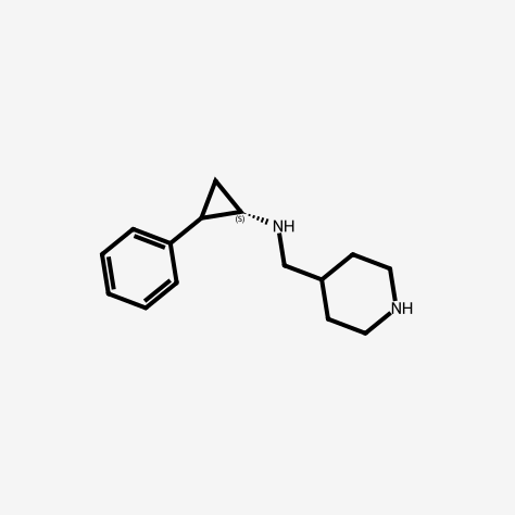 c1ccc(C2C[C@@H]2NCC2CCNCC2)cc1